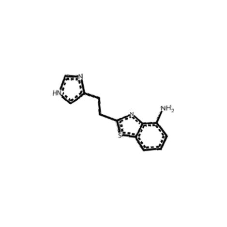 Nc1cccc2sc(CCc3c[nH]cn3)nc12